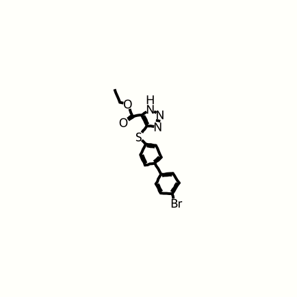 CCOC(=O)c1[nH]nnc1Sc1ccc(-c2ccc(Br)cc2)cc1